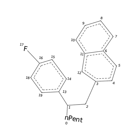 CCCCCC(Cc1ccc2ccccc2c1)c1ccc(F)cc1